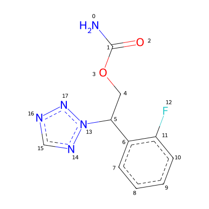 NC(=O)OCC(c1ccccc1F)n1ncnn1